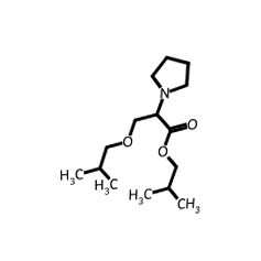 CC(C)COCC(C(=O)OCC(C)C)N1CCCC1